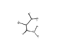 CC(C)C(C)C(C(C)C)C(C)N(C)C(C)C